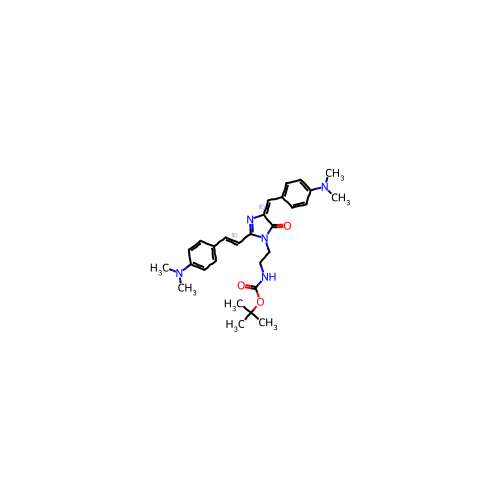 CN(C)c1ccc(/C=C/C2=NC(=C/c3ccc(N(C)C)cc3)/C(=O)N2CCNC(=O)OC(C)(C)C)cc1